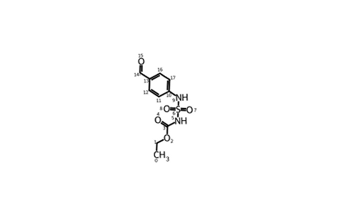 CCOC(=O)NS(=O)(=O)Nc1ccc([C]=O)cc1